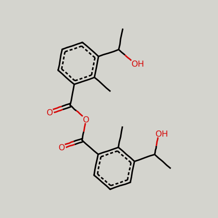 Cc1c(C(=O)OC(=O)c2cccc(C(C)O)c2C)cccc1C(C)O